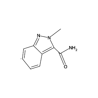 Cn1nc2c[c]ccc2c1C(N)=O